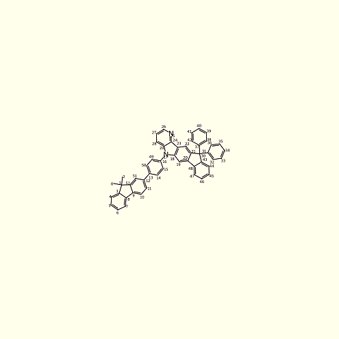 CC1(C)c2ccccc2-c2ccc(-c3ccc(-n4c5cc6c(cc5c5ncccc54)C(c4ccccc4)(c4ccccc4)c4ccccc4-6)cc3)cc21